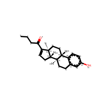 CCCC(=O)C1=CC[C@H]2[C@@H]3CCc4cc(O)ccc4[C@H]3CC[C@]12C